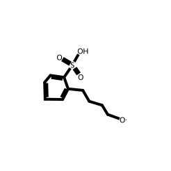 [O]CCCCc1ccccc1S(=O)(=O)O